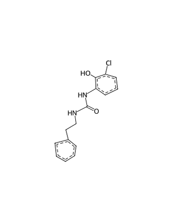 O=C(NCCc1ccccc1)Nc1cccc(Cl)c1O